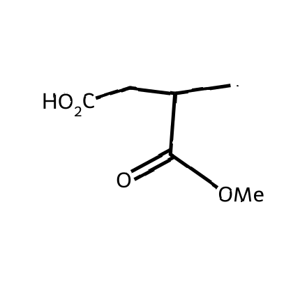 [CH2]C(CC(=O)O)C(=O)OC